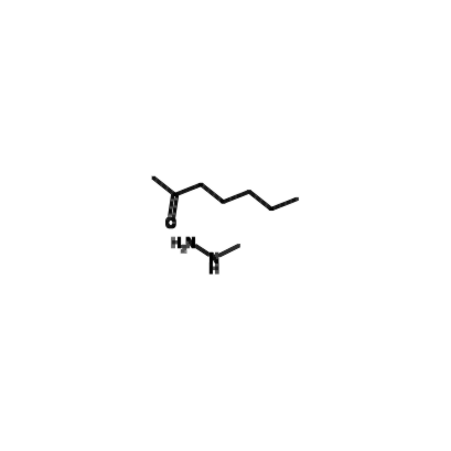 CCCCCC(C)=O.CNN